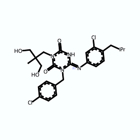 CC(C)Cc1ccc(/N=c2\[nH]c(=O)n(CC(C)(CO)CO)c(=O)n2Cc2ccc(Cl)cc2)cc1Cl